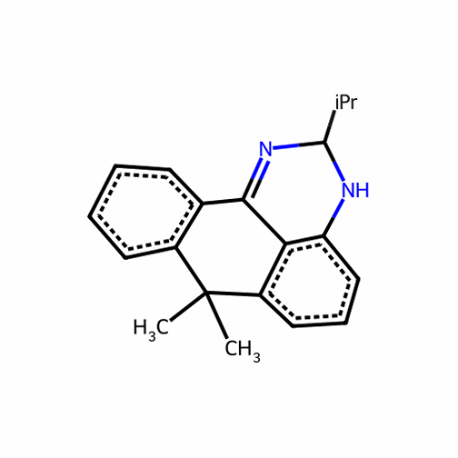 CC(C)C1N=C2c3ccccc3C(C)(C)c3cccc(c32)N1